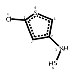 SNc1csc(Cl)c1